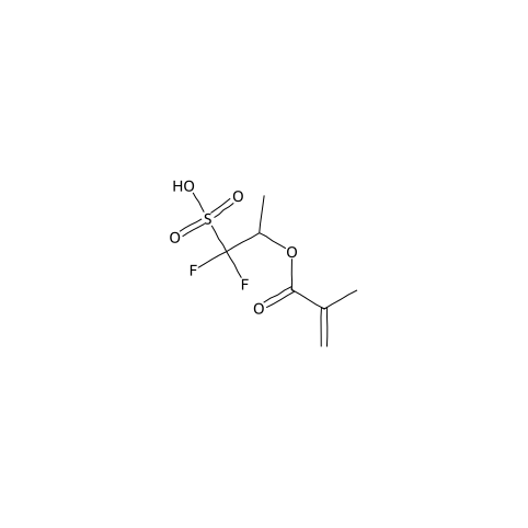 C=C(C)C(=O)OC(C)C(F)(F)S(=O)(=O)O